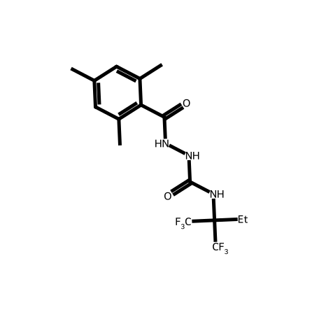 CCC(NC(=O)NNC(=O)c1c(C)cc(C)cc1C)(C(F)(F)F)C(F)(F)F